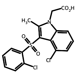 Cc1c(S(=O)(=O)c2ccccc2Cl)c2c(Cl)cccc2n1CC(=O)O